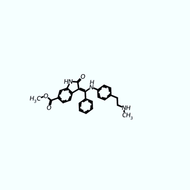 CNCCc1ccc(N/C(=C2\C(=O)Nc3cc(C(=O)OC)ccc32)c2ccccc2)cc1